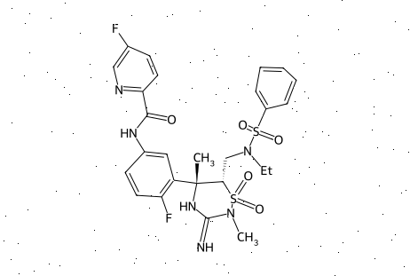 CCN(C[C@H]1[C@@](C)(c2cc(NC(=O)c3ccc(F)cn3)ccc2F)NC(=N)N(C)S1(=O)=O)S(=O)(=O)c1ccccc1